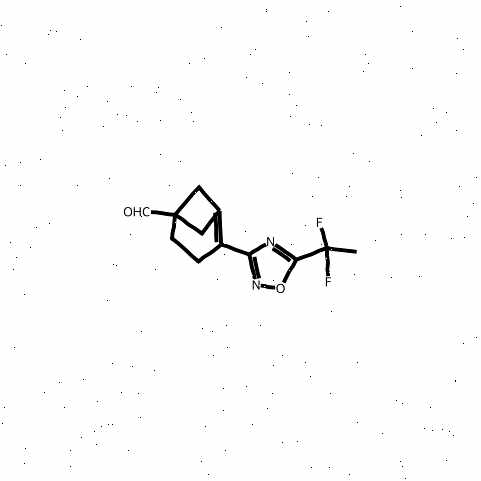 CC(F)(F)c1nc(C2=C3CC(C=O)(CC2)C3)no1